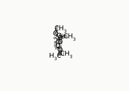 CCCOC(=O)CC(=Cc1ccc(OCC(C)C)cc1)C(=O)OCCC